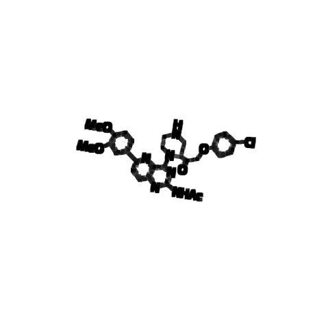 COc1ccc(-c2ccc3nc(NC(C)=O)nc(N4CCNCC4C(=O)COc4ccc(Cl)cc4)c3n2)cc1OC